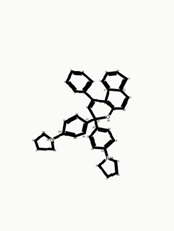 C1=C(c2ccccc2)c2c(ccc3ccccc23)OC1(c1ccc(N2CCCC2)cc1)c1ccc(N2CCCC2)cc1